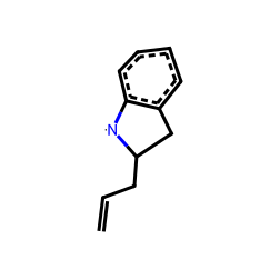 C=CCC1Cc2ccccc2[N]1